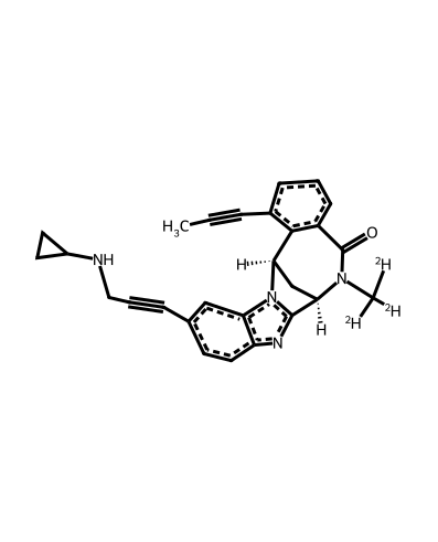 [2H]C([2H])([2H])N1C(=O)c2cccc(C#CC)c2[C@H]2C[C@@H]1c1nc3ccc(C#CCNC4CC4)cc3n12